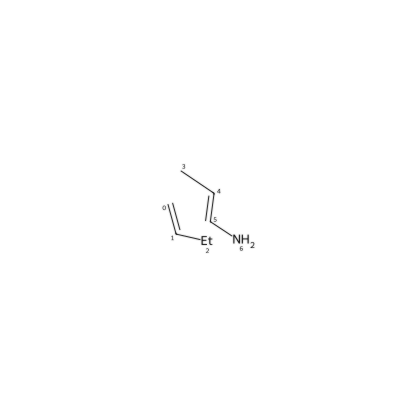 C=CCC.CC=CN